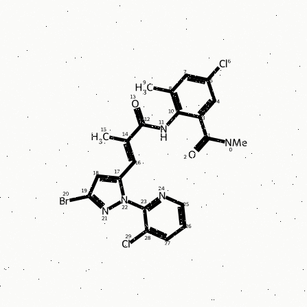 CNC(=O)c1cc(Cl)cc(C)c1NC(=O)C(C)=Cc1cc(Br)nn1-c1ncccc1Cl